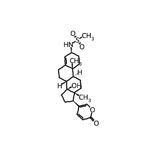 C[C@]12CC[C@H](NS(C)(=O)=O)C=C1CC[C@@H]1[C@@H]2CC[C@]2(C)[C@@H](c3ccc(=O)oc3)CC[C@]12O